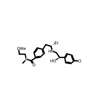 CC[C@@H](Cc1ccc(C(=O)N(C)CCOC)cc1)NC[C@H](O)c1ccc(Cl)cc1